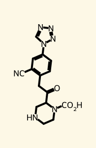 N#Cc1cc(-n2cnnn2)ccc1CC(=O)C1CNCCN1C(=O)O